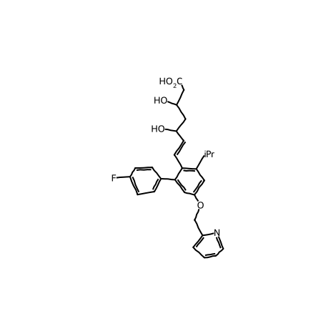 CC(C)c1cc(OCc2ccccn2)cc(-c2ccc(F)cc2)c1C=CC(O)CC(O)CC(=O)O